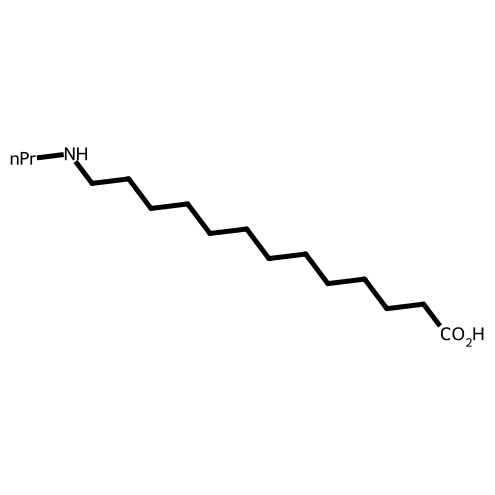 CCCNCCCCCCCCCCCCC(=O)O